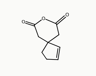 O=C1CC2(C=CCC2)CC(=O)O1